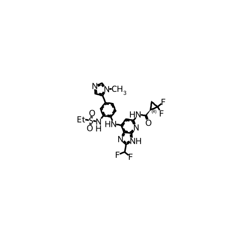 CCS(=O)(=O)Nc1cc(-c2cncn2C)ccc1Nc1cc(NC(=O)[C@H]2CC2(F)F)nc2[nH]c(C(F)F)nc12